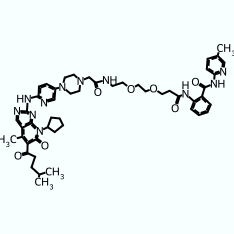 Cc1ccc(NC(=O)c2ccccc2NC(=O)CCOCCOCCNC(=O)CN2CCN(c3ccc(Nc4ncc5c(C)c(C(=O)CCC(C)C)c(=O)n(C6CCCC6)c5n4)nc3)CC2)nc1